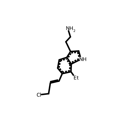 CCc1c(C=CCCl)ccc2c(CCN)c[nH]c12